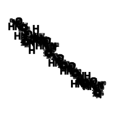 C=CC(=O)Nc1cccc(C(=O)Nc2cccc(Nc3n[nH]c4c3CN(C(=O)N[C@H](CN(C)C)c3cccc(/C=C/C(=O)Nc5ccc(C(=O)Nc6ccc(Nc7n[nH]c8c7CN(C(=O)N[C@H](CN(C)C)c7ccccc7)C8(C)C)cc6)cc5)c3)C4(C)C)c2)c1